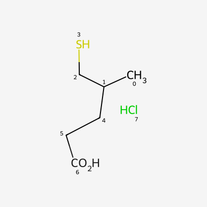 CC(CS)CCC(=O)O.Cl